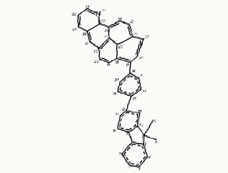 CC1(C)c2ccccc2-c2ccc(-c3ccc(C4=C5C=CC6=C7C(=CC=C(C=C4)C57)C4N=CC=CC4=C6)cc3)cc21